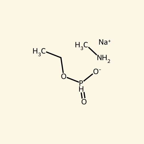 CCO[PH](=O)[O-].CN.[Na+]